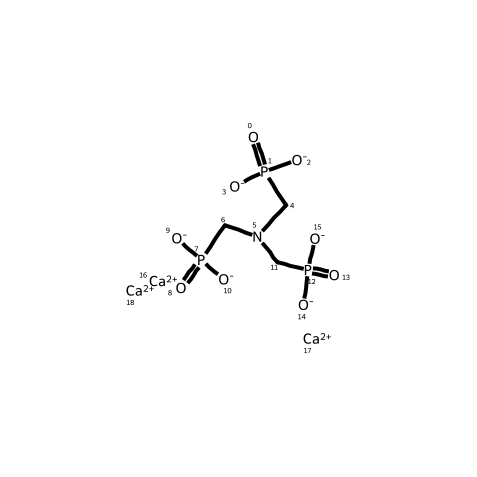 O=P([O-])([O-])CN(CP(=O)([O-])[O-])CP(=O)([O-])[O-].[Ca+2].[Ca+2].[Ca+2]